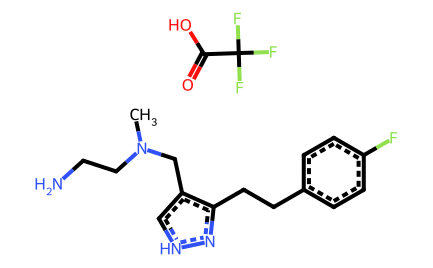 CN(CCN)Cc1c[nH]nc1CCc1ccc(F)cc1.O=C(O)C(F)(F)F